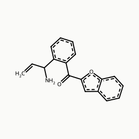 C=CC(N)c1ccccc1C(=O)c1cc2ccccc2o1